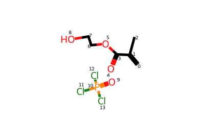 C=C(C)C(=O)OCCO.O=P(Cl)(Cl)Cl